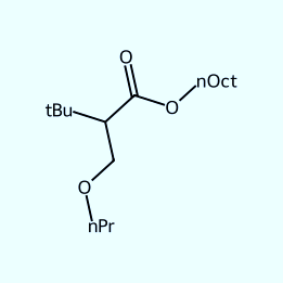 CCCCCCCCOC(=O)C(COCCC)C(C)(C)C